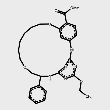 COC(=O)c1ccc2cc1OCCCCCCOCC(c1ccccc1)Nc1nc(nc(OCC(F)(F)F)n1)N2